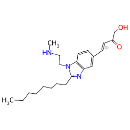 CCCCCCCCc1nc2cc(/C=C/C(=O)CO)ccc2n1CCNC